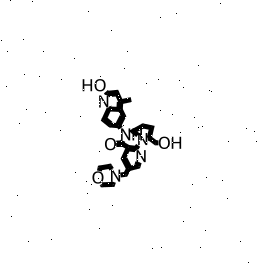 Cc1cc(O)nc2ccc(NC(=O)c3cc(CN4CCOCC4)cnc3N3CCCC3CO)cc12